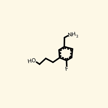 NCc1ccc(F)c(CCCO)c1